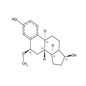 CO[C@@H]1C[C@@H]2[C@H](CCC3[C@H]2CC[C@@H]3O)c2ccc(O)cc21